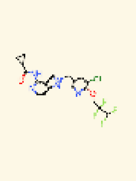 O=C(Nc1nccc2nn(Cc3cnc(OCC(F)(F)C(F)F)c(Cl)c3)cc12)C1CC1